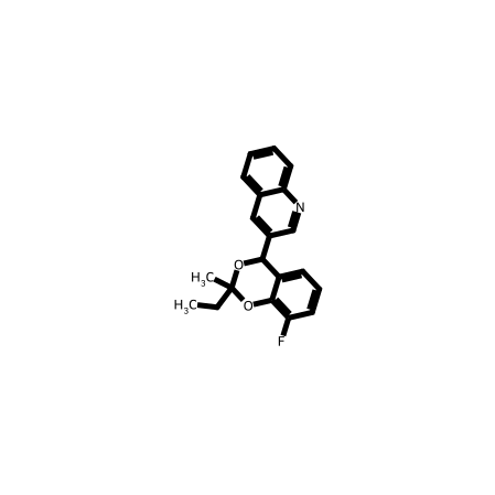 CCC1(C)Oc2c(F)cccc2C(c2cnc3ccccc3c2)O1